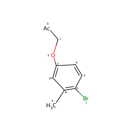 CC(=O)COc1ccc(Br)c(C)c1